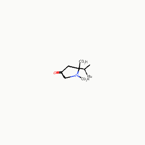 CC(C(C)(C)C)C1(C(=O)O)CC(=O)CN1C(=O)O